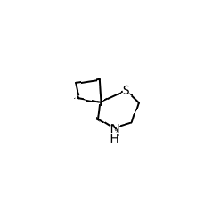 [CH]1CCC12CNCCS2